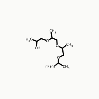 CCCCCC(C)OCC(C)OCC(C)OCC(C)O